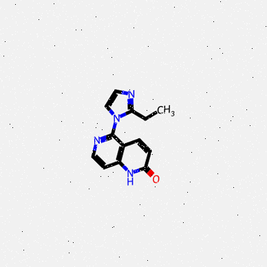 CCc1nccn1-c1nccc2[nH]c(=O)ccc12